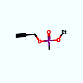 C#CCOP(C)(=O)OCC